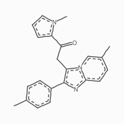 Cc1ccc(-c2nc3ccc(C)cn3c2CC(=O)c2cccn2C)cc1